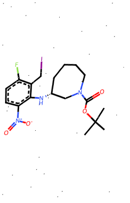 CC(C)(C)OC(=O)N1CCCC[C@@H](Nc2c([N+](=O)[O-])ccc(F)c2CI)C1